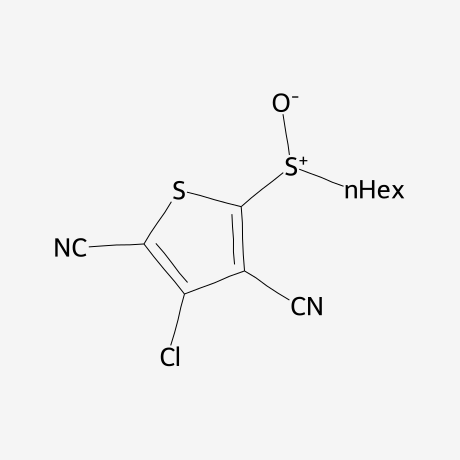 CCCCCC[S+]([O-])c1sc(C#N)c(Cl)c1C#N